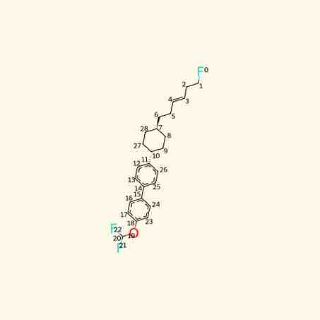 FCCC=CCC[C@H]1CC[C@H](c2ccc(-c3ccc(OC(F)F)cc3)cc2)CC1